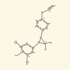 Cc1c(Cl)cc(C2C(c3ccc(CC#N)cc3)C2(C)C)cc1Cl